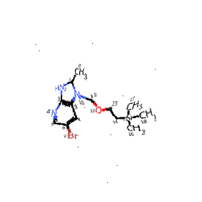 CC1Nc2ncc(Br)cc2N1COCC[Si](C)(C)C